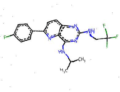 CC(C)Nc1nc(NCC(F)(F)F)nc2ccc(-c3ccc(F)cc3)nc12